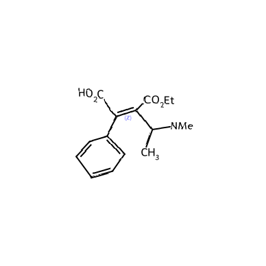 CCOC(=O)/C(=C(\C(=O)O)c1ccccc1)C(C)NC